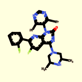 CC1CN(c2nc(=O)n(-c3c(C(C)C)ncnc3C(C)C)c3nc(-c4ccccc4F)c(F)cc23)CC(C)N1